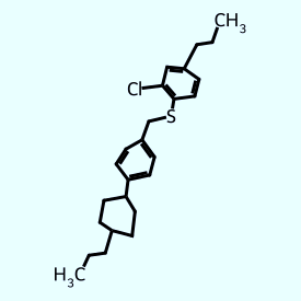 CCCc1ccc(SCc2ccc(C3CCC(CCC)CC3)cc2)c(Cl)c1